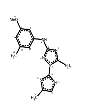 COc1cc(Nc2nc(N)n(-c3ncc(C)s3)n2)cc(C(F)(F)F)c1